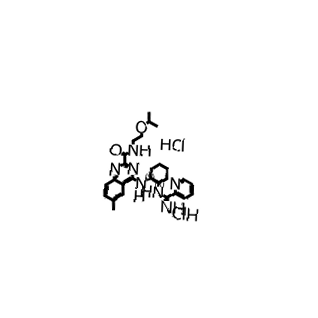 Cc1ccc2nc(C(=O)NCCOC(C)C)nc(N[C@H]3CCCC[C@H]3NC(=N)c3ccccn3)c2c1.Cl.Cl